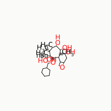 CCCCC1(O)[C@H](OC(O)C2CCCCC2)C2C3COC3CC(O)[C@]2(C)C(O)C(O)C(C)C1(C)C